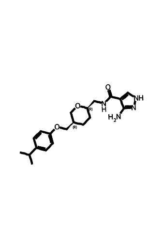 CC(C)c1ccc(OC[C@@H]2CC[C@H](CNC(=O)c3c[nH]nc3N)OC2)cc1